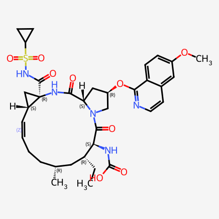 CC[C@@H]1C[C@H](C)CC/C=C\[C@@H]2C[C@@]2(C(=O)NS(=O)(=O)C2CC2)NC(=O)[C@@H]2C[C@@H](Oc3nccc4cc(OC)ccc34)CN2C(=O)[C@H]1NC(=O)O